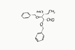 C=C[C@@H](O)[C@H](OCc1ccccc1)[C@H](C=O)OCc1ccccc1